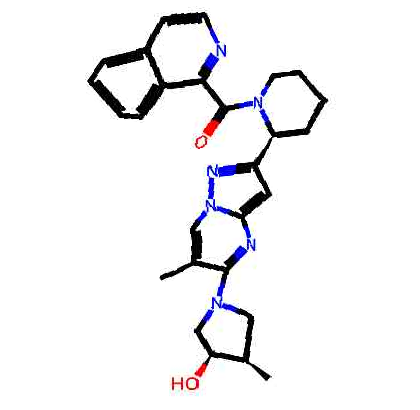 Cc1cn2nc([C@@H]3CCCCN3C(=O)c3nccc4ccccc34)cc2nc1N1C[C@@H](C)[C@@H](O)C1